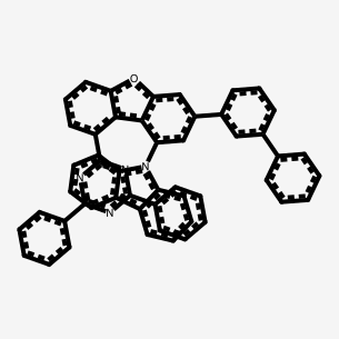 c1ccc(-c2cccc(-c3cc(-n4c5ccccc5c5ccccc54)c4c(c3)oc3cccc(-c5nc(-c6ccccc6)nc(-c6ccccc6)n5)c34)c2)cc1